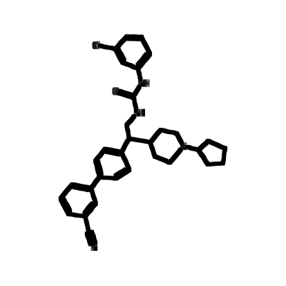 N#Cc1cccc(-c2ccc(C(CNC(=O)Nc3cccc(Cl)c3)C3CCN(C4CCCC4)CC3)cc2)c1